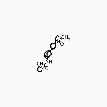 CN1CCN(c2ccc(C34CC5CC(C3)C(NCC(=O)N3CCC[C@H]3C#N)(C5)C4)cc2)C1=O